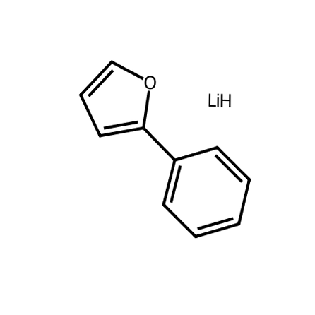 [LiH].c1ccc(-c2ccco2)cc1